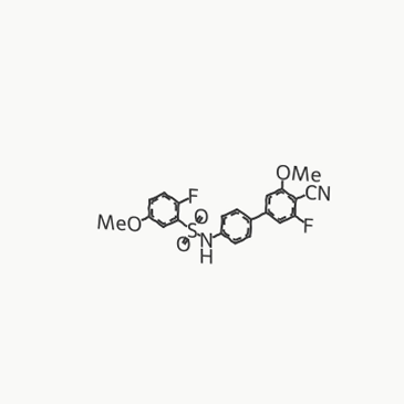 COc1ccc(F)c(S(=O)(=O)Nc2ccc(-c3cc(F)c(C#N)c(OC)c3)cc2)c1